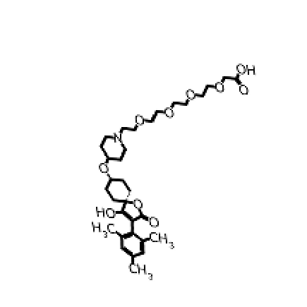 Cc1cc(C)c(C2=C(O)[C@]3(CC[C@H](OC4CCN(CCOCCOCCOCCOCC(=O)O)CC4)CC3)OC2=O)c(C)c1